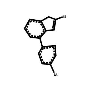 CCC1=Cc2c(cccc2-c2ccc(CC)cc2)[CH]1